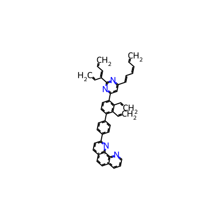 C=C/C=C\C=C\c1cc(-c2ccc(-c3ccc(-c4ccc5ccc6cccnc6c5n4)cc3)c(C=C)c2C=C)nc(/C(C=C)=C/C=C)n1